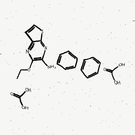 CCOc1nc2ccsc2nc1N.O=C(O)O.O=C(O)O.c1ccccc1.c1ccccc1